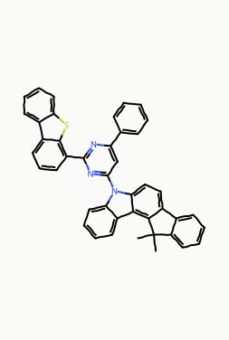 CC1(C)c2ccccc2-c2ccc3c(c21)c1ccccc1n3-c1cc(-c2ccccc2)nc(-c2cccc3c2sc2ccccc23)n1